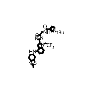 Cc1nc2c(s1)CC(Nc1cccc3c1cc(-c1noc(CNC(=O)c4ccn(C(C)(C)C)c4)n1)n3CC(F)(F)F)CC2